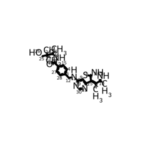 CC(=N)/C(C)=C1\C(=N)Sc2c(NCc3ccc(C(=O)NC(C)C(C)(C)CO)cc3)ncnc21